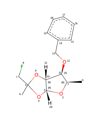 C[C@H]1O[C@@H]2OC(C)(CF)O[C@@H]2[C@H]1OCc1ccccc1